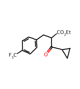 CCOC(=O)C(Cc1ccc(C(F)(F)F)cc1)C(=O)C1CC1